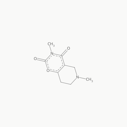 CN1CCc2oc(=O)n(C)c(=O)c2C1